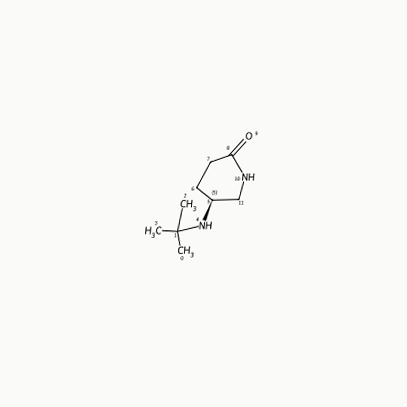 CC(C)(C)N[C@H]1CCC(=O)NC1